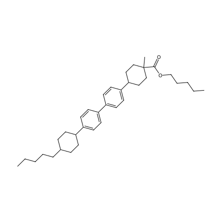 CCCCCOC(=O)C1(C)CCC(c2ccc(-c3ccc(C4CCC(CCCCC)CC4)cc3)cc2)CC1